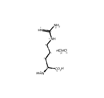 CN[C@@H](CCCNC(=N)N)C(=O)O.Cl.Cl